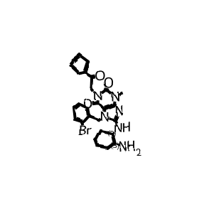 Cn1c(=O)n(CC(=O)c2ccccc2)c(=O)c2c1nc(N[C@@H]1CCCC[C@@H]1N)n2Cc1ccccc1Br